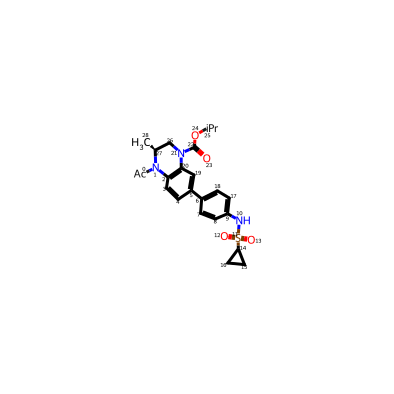 CC(=O)N1c2ccc(-c3ccc(NS(=O)(=O)C4CC4)cc3)cc2N(C(=O)OC(C)C)C[C@@H]1C